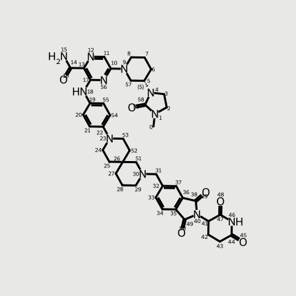 CN1CCN([C@H]2CCCN(c3cnc(C(N)=O)c(Nc4ccc(N5CCC6(CCCN(Cc7ccc8c(c7)C(=O)N(C7CCC(=O)NC7=O)C8=O)C6)CC5)cc4)n3)C2)C1=O